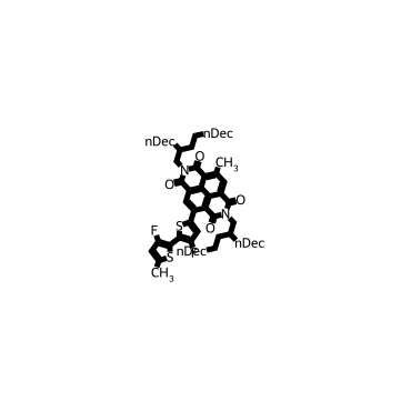 CCCCCCCCCCCCC(CCCCCCCCCC)CN1C(=O)c2cc(-c3cc(F)c(-c4sc(C)cc4F)s3)c3c4c(cc(C)c(c24)C1=O)C(=O)N(CC(CCCCCCCCCC)CCCCCCCCCCCC)C3=O